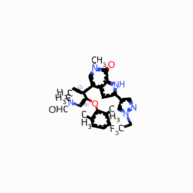 C/C=C(\C(=C/N(C)C=O)Oc1c(C)cccc1C)c1cn(C)c(=O)c2[nH]c(-c3cnn(CC(F)(F)F)c3)cc12